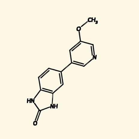 COc1cncc(-c2ccc3[nH]c(=O)[nH]c3c2)c1